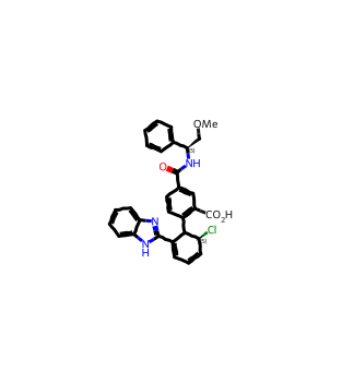 COC[C@@H](NC(=O)c1ccc(C2C(c3nc4ccccc4[nH]3)=CC=C[C@@H]2Cl)c(C(=O)O)c1)c1ccccc1